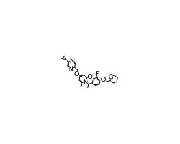 Cc1cc(OCc2cnc(C3CC3)cn2)cc(=O)n1C(C)c1ccc(OCC2CCCCO2)c(F)c1